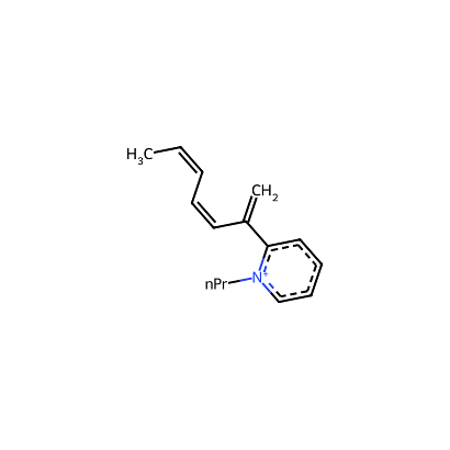 C=C(/C=C\C=C/C)c1cccc[n+]1CCC